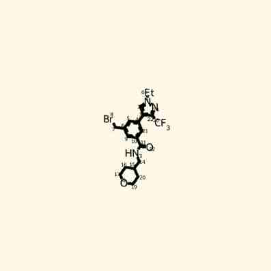 CCn1cc(-c2cc(CBr)cc(C(=O)NCC3CCOCC3)c2)c(C(F)(F)F)n1